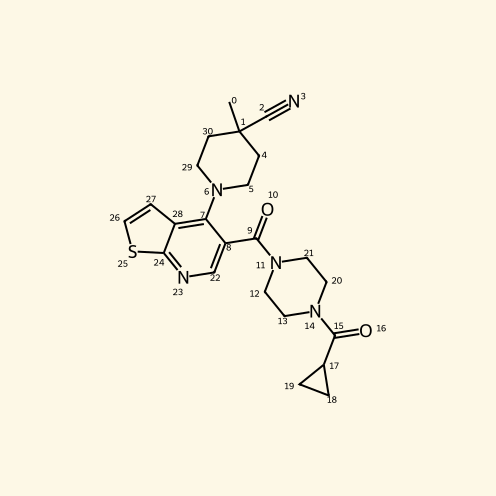 CC1(C#N)CCN(c2c(C(=O)N3CCN(C(=O)C4CC4)CC3)cnc3sccc23)CC1